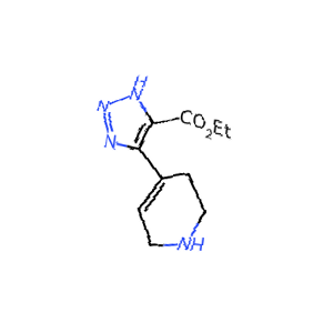 CCOC(=O)c1[nH]nnc1C1=CCNCC1